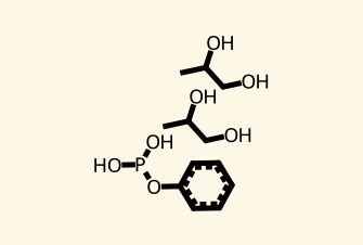 CC(O)CO.CC(O)CO.OP(O)Oc1ccccc1